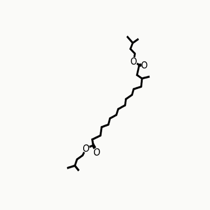 CC(C)CCOC(=O)CCCCCCCCCCCCC(C)CC(=O)OCCC(C)C